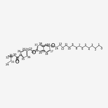 CCCCCCCCCCCCCCCOc1ccc2cc(OCc3ccc(C(=O)C[C@H](C)CC)cc3)ccc2c1